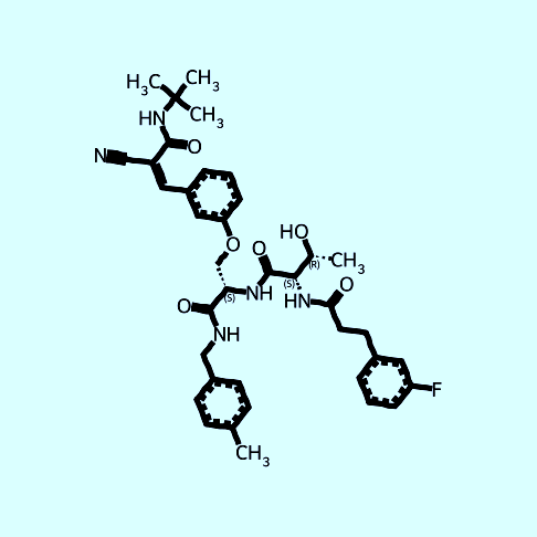 Cc1ccc(CNC(=O)[C@H](COc2cccc(C=C(C#N)C(=O)NC(C)(C)C)c2)NC(=O)[C@@H](NC(=O)CCc2cccc(F)c2)[C@@H](C)O)cc1